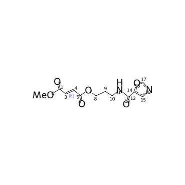 COC(=O)/C=C/C(=O)OCCCNC(=O)c1cnco1